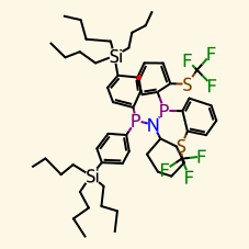 CCCC[Si](CCCC)(CCCC)c1ccc(P(c2ccc([Si](CCCC)(CCCC)CCCC)cc2)N(C2CCCCC2)P(c2ccccc2SC(F)(F)F)c2ccccc2SC(F)(F)F)cc1